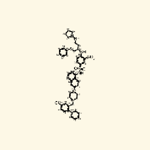 O=[N+]([O-])c1cc(S(=O)(=O)Nc2ncnc3cc(N4CCN(Cc5cc(Cl)ccc5-c5ccccc5)CC4)ccc23)ccc1NC(CCNN1CCCC1)CSc1ccccc1